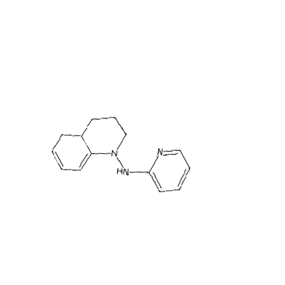 C1=CCC2CCCN(Nc3ccccn3)C2=C1